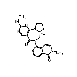 CNc1ncc2c(n1)N1CCC[C@H]1CN(c1cccc3c(=O)n(C)ccc13)C2=O